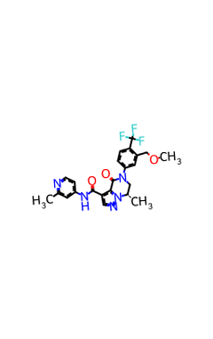 COCc1cc(N2C[C@H](C)n3ncc(C(=O)Nc4ccnc(C)c4)c3C2=O)ccc1C(F)(F)F